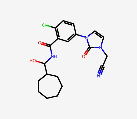 N#CCn1ccn(-c2ccc(Cl)c(C(=O)NC(O)C3CCCCCC3)c2)c1=O